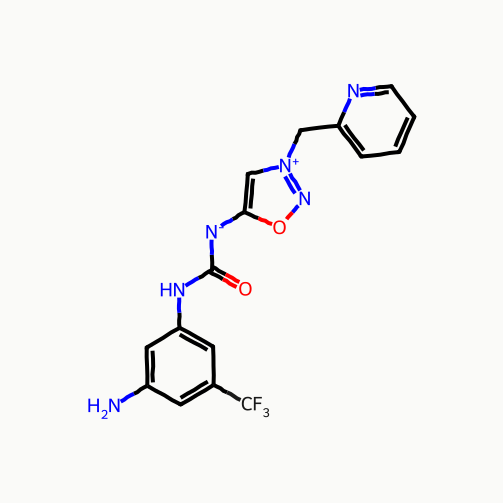 Nc1cc(NC(=O)[N-]c2c[n+](Cc3ccccn3)no2)cc(C(F)(F)F)c1